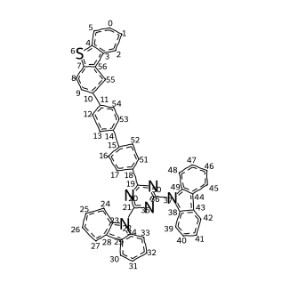 c1ccc2c(c1)sc1ccc(-c3ccc(-c4ccc(-c5nc(-n6c7ccccc7c7ccccc76)nc(-n6c7ccccc7c7ccccc76)n5)cc4)cc3)cc12